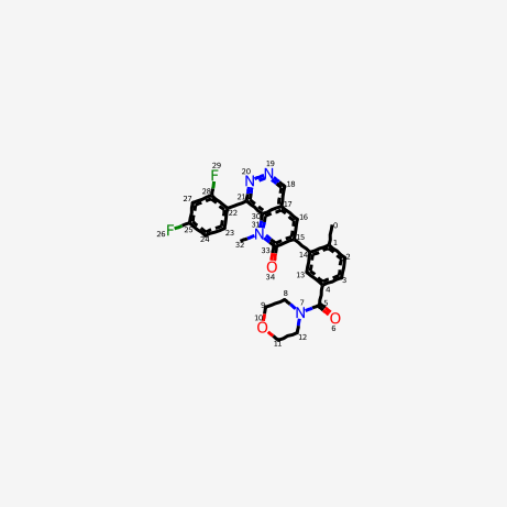 Cc1ccc(C(=O)N2CCOCC2)cc1-c1cc2cnnc(-c3ccc(F)cc3F)c2n(C)c1=O